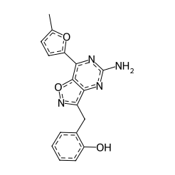 Cc1ccc(-c2nc(N)nc3c(Cc4ccccc4O)noc23)o1